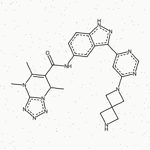 CC1=C(C(=O)Nc2ccc3[nH]nc(-c4cc(N5CC6(CNC6)C5)ncn4)c3c2)C(C)n2nnnc2N1C